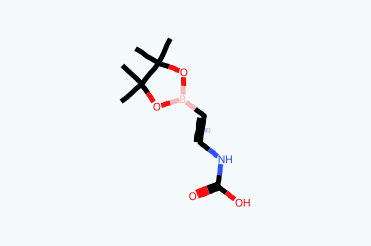 CC1(C)OB(/C=C/NC(=O)O)OC1(C)C